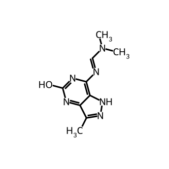 Cc1n[nH]c2c(/N=C/N(C)C)nc(O)nc12